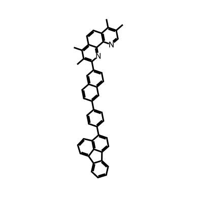 Cc1cnc2c(ccc3c(C)c(C)c(-c4ccc5cc(-c6ccc(-c7ccc8c9c(cccc79)-c7ccccc7-8)cc6)ccc5c4)nc32)c1C